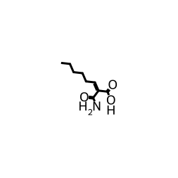 CCCCC/C=C(\C(N)=O)C(=O)O